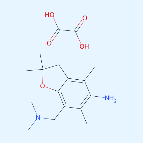 Cc1c(N)c(C)c2c(c1CN(C)C)OC(C)(C)C2.O=C(O)C(=O)O